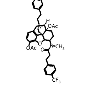 CC(=O)Oc1ccc2c3c1OC1C(N(C)C(=O)CCc4ccc(C(F)(F)F)cc4)CC[C@@]4(OC(C)=O)[C@@H](C2)N(CCc2ccccc2)CC[C@]314